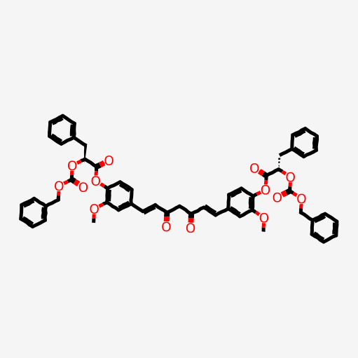 COc1cc(/C=C/C(=O)CC(=O)/C=C/c2ccc(OC(=O)[C@H](Cc3ccccc3)OC(=O)OCc3ccccc3)c(OC)c2)ccc1OC(=O)[C@H](Cc1ccccc1)OC(=O)OCc1ccccc1